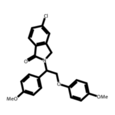 COc1ccc(OCC(c2ccc(OC)cc2)N2Cc3cc(Cl)ccc3C2=O)cc1